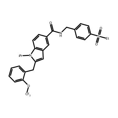 CCS(=O)(=O)c1ccc(CNC(=O)c2ccc3c(c2)cc(Cc2ccccc2OC(F)(F)F)n3C(C)C)cc1